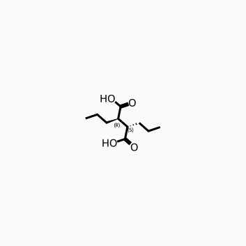 CCC[C@H](C(=O)O)[C@@H](CCC)C(=O)O